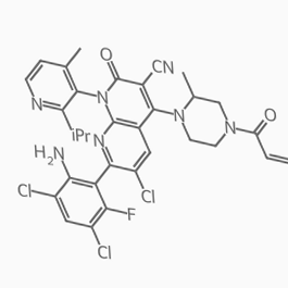 C=CC(=O)N1CCN(c2c(C#N)c(=O)n(-c3c(C)ccnc3C(C)C)c3nc(-c4c(N)c(Cl)cc(Cl)c4F)c(Cl)cc23)C(C)C1